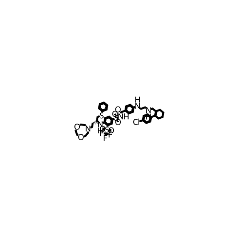 O=C(NS(=O)(=O)c1ccc(N[C@H](CCN2CCOCCOCC2)CSc2ccccc2)c(S(=O)(=O)C(F)(F)F)c1)c1ccc(NCCNCC2=C(c3ccc(Cl)cc3)CCCC2)cc1